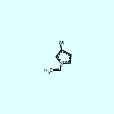 C=Cn1ccc(C(C)=O)c1